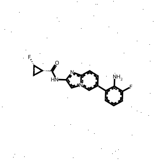 Nc1c(F)cccc1-c1ccc2nc(NC(=O)[C@@H]3C[C@@H]3F)cn2c1